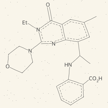 CCn1c(N2CCOCC2)nc2c(C(C)Nc3ccccc3C(=O)O)cc(C)cc2c1=O